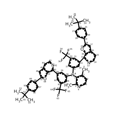 Cc1ccnc(C)c1N(c1cc(-c2nccc3cc(-c4ccc(C(C)(C)C)cc4)oc23)cc(C(F)(F)F)c1)c1cc(-c2nccc3cc(-c4ccc(C(C)(C)C)cc4)oc23)cc(C(F)(F)F)c1